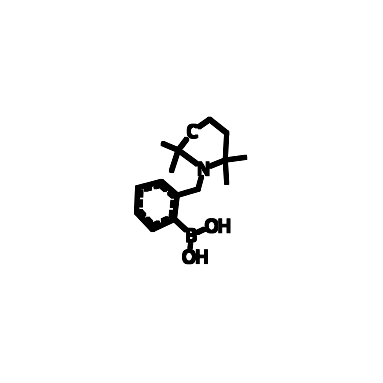 CC1(C)CCCC(C)(C)N1Cc1ccccc1B(O)O